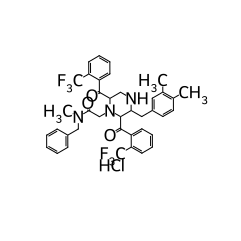 Cc1ccc(CC2NCC(C(=O)c3ccccc3C(F)(F)F)N(CC(=O)N(C)Cc3ccccc3)C2C(=O)c2ccccc2C(F)(F)F)cc1C.Cl